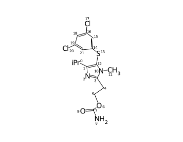 CC(C)c1nc(CCOC(N)=O)n(C)c1Sc1cc(Cl)cc(Cl)c1